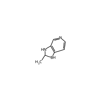 CC1Bc2ccncc2N1